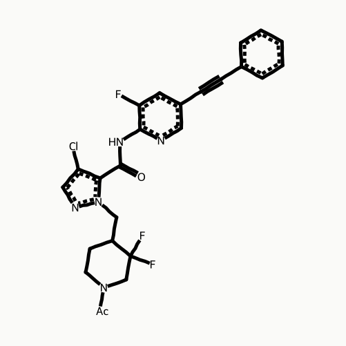 CC(=O)N1CCC(Cn2ncc(Cl)c2C(=O)Nc2ncc(C#Cc3ccccc3)cc2F)C(F)(F)C1